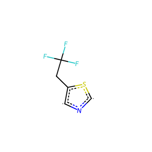 FC(F)(F)Cc1[c]n[c]s1